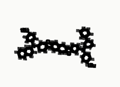 CC(C)(C)c1ccc(N(c2cccc(-c3ccccc3)c2)c2ccc3c(c2)oc2cc4cc5c(cc4cc23)oc2cc(N(c3ccc(C(C)(C)C)cc3)c3ccc4ccccc4c3)ccc25)cc1